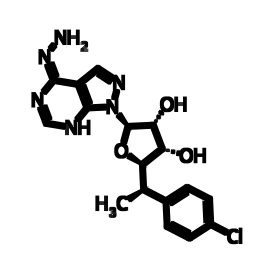 C[C@H](c1ccc(Cl)cc1)[C@H]1O[C@@H](n2ncc3/c(=N\N)nc[nH]c32)[C@H](O)[C@@H]1O